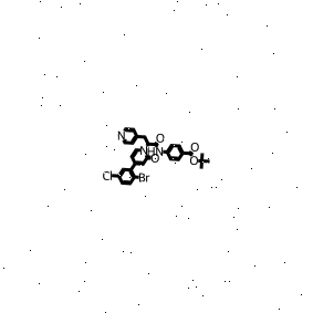 CC(C)(C)OC(=O)c1ccc(NC(=O)C(Cc2ccncc2)n2ccc(-c3cc(Cl)ccc3Br)cc2=O)cc1